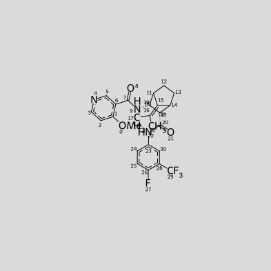 COc1ccncc1C(=O)N[C@@H]1C2CCC(C2=C(C)C)[C@@H]1C(=O)Nc1ccc(F)c(C(F)(F)F)c1